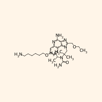 CCOCc1nc2c(N)nc3cc(OCCCCCCN)ccc3c2n1CC(C)(C)N(C(N)=O)C(C)C